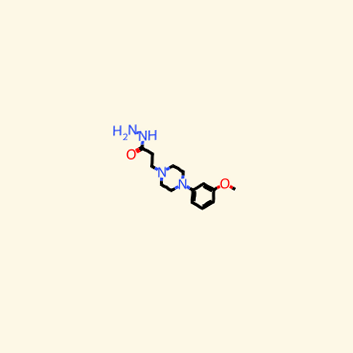 COc1cccc(N2CCN(CCC(=O)NN)CC2)c1